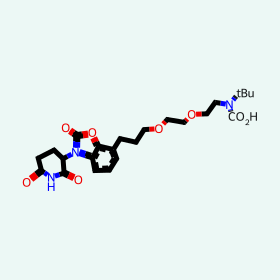 CC(C)(C)N(CCOCCOCCCc1cccc2c1oc(=O)n2C1CCC(=O)NC1=O)C(=O)O